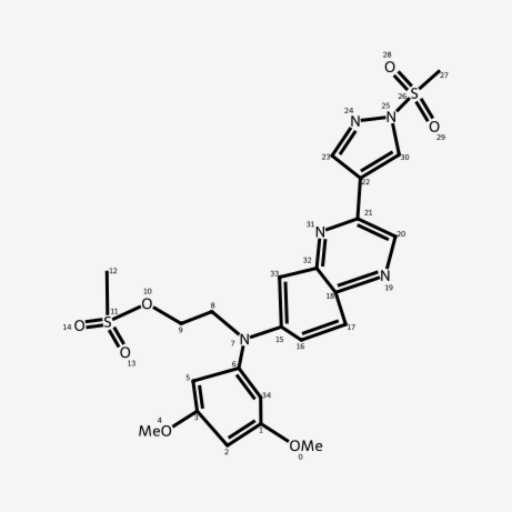 COc1cc(OC)cc(N(CCOS(C)(=O)=O)c2ccc3ncc(-c4cnn(S(C)(=O)=O)c4)nc3c2)c1